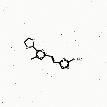 CC(=O)Nc1nc(C=Cc2cc(C)c(C3OCCO3)s2)cs1